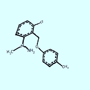 Cc1ccc(OCc2c(Cl)cccc2N(C)N)cc1